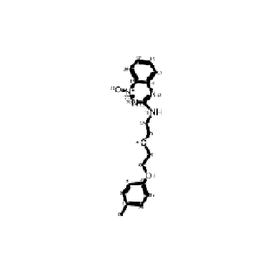 Cc1ccc(OCCOCCNc2nc3ccccc3[n+]([O-])n2)cc1